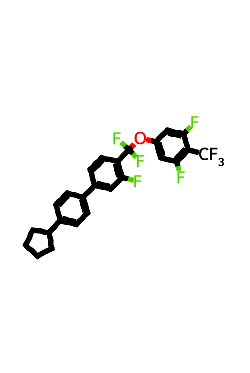 Fc1cc(-c2ccc(C3CCCC3)cc2)ccc1C(F)(F)Oc1cc(F)c(C(F)(F)F)c(F)c1